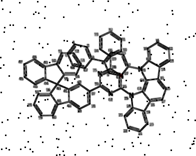 c1ccc(-c2ccc(-n3c4ccccc4c4ccc5c6ccccc6n(-c6nc(-c7ccccc7)nc(-c7ccc8c(c7)C7(c9ccccc9-c9ccccc97)c7ccccc7-8)n6)c5c43)cc2)cc1